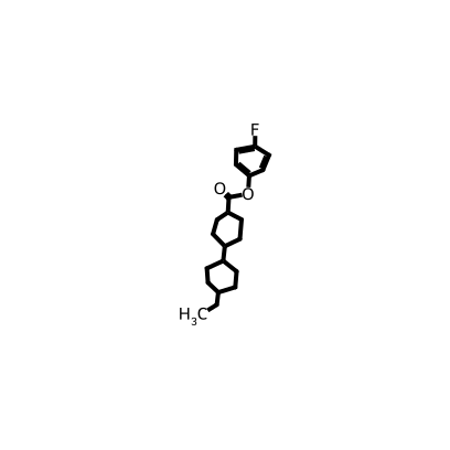 CCC1CCC(C2CCC(C(=O)Oc3ccc(F)cc3)CC2)CC1